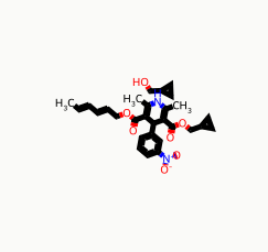 CC=CC=CCOC(=O)C1=C(C)NC(C)=C(C(=O)OCC2CC2)C1c1cccc([N+](=O)[O-])c1.OCC1CC1